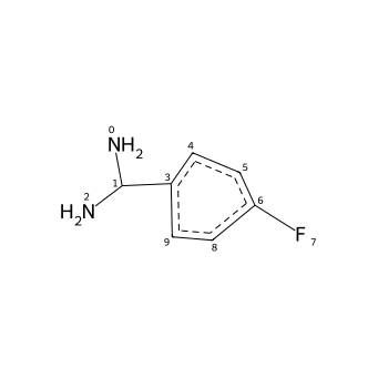 NC(N)c1ccc(F)cc1